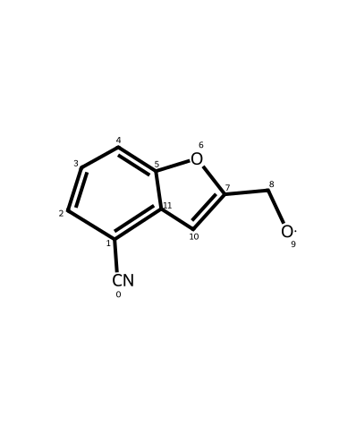 N#Cc1cccc2oc(C[O])cc12